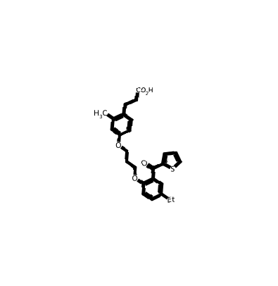 CCc1ccc(OCCCOc2ccc(CCC(=O)O)c(C)c2)c(C(=O)c2cccs2)c1